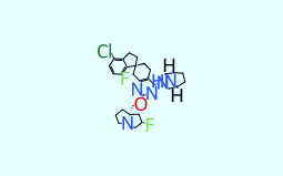 F[C@H]1CN2CCC[C@@]2(COc2nc3c(c(N4C[C@H]5CC[C@@H](C4)N5)n2)CC[C@@]2(CCc4c(Cl)cccc42)[C@H]3F)C1